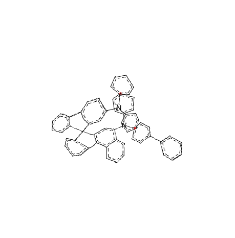 c1ccc(-c2ccc(N(c3ccccc3)c3cc4c(c5ccccc35)-c3ccccc3C43c4ccccc4-c4ccc(N(c5ccccc5)c5ccccc5)cc43)cc2)cc1